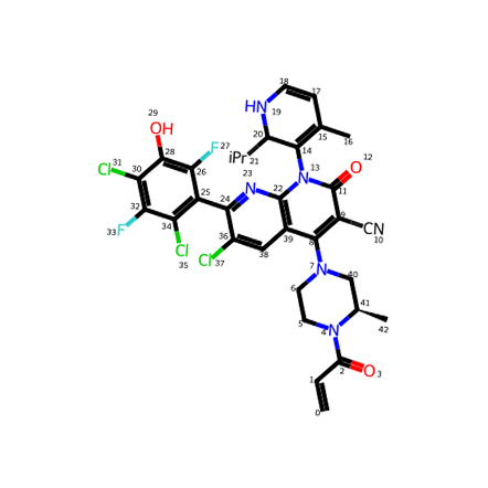 C=CC(=O)N1CCN(c2c(C#N)c(=O)n(C3=C(C)C=CNC3C(C)C)c3nc(-c4c(F)c(O)c(Cl)c(F)c4Cl)c(Cl)cc23)C[C@H]1C